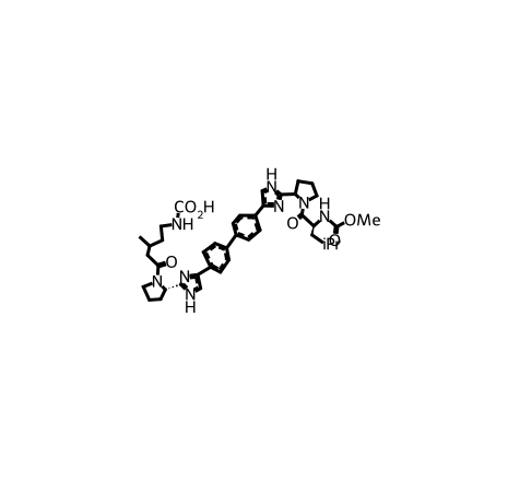 COC(=O)N[C@@H](CC(C)C)C(=O)N1CCCC1c1nc(-c2ccc(-c3ccc(-c4c[nH]c([C@@H]5CCCN5C(=O)CC(C)CCNC(=O)O)n4)cc3)cc2)c[nH]1